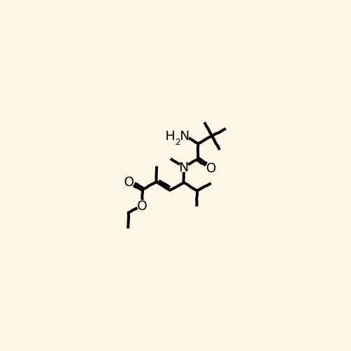 CCOC(=O)C(C)=CC(C(C)C)N(C)C(=O)C(N)C(C)(C)C